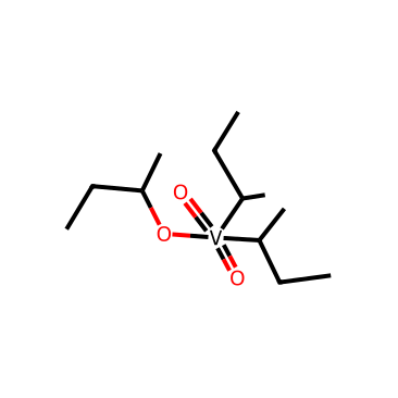 CCC(C)[O][V](=[O])(=[O])([CH](C)CC)[CH](C)CC